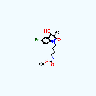 CC(=O)c1c(O)c2cc(Br)ccc2n(CCCCNC(=O)OC(C)(C)C)c1=O